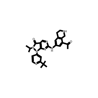 CC(=O)c1cc(Nc2ncc3c(=O)n(C(C)C)n(-c4ccnc(C(C)(C)C)c4)c3n2)cc2c1CNCC2